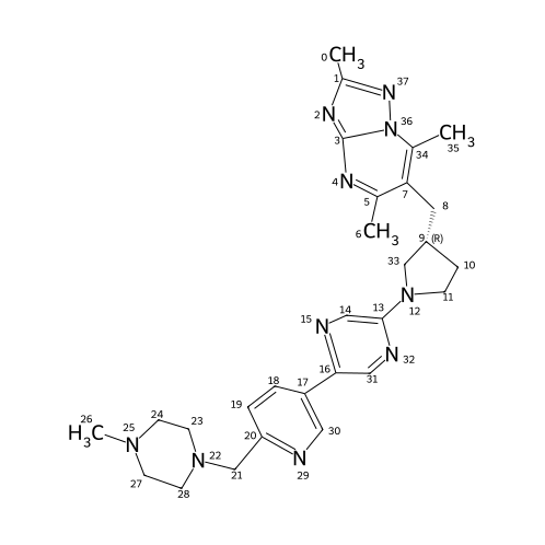 Cc1nc2nc(C)c(C[C@@H]3CCN(c4cnc(-c5ccc(CN6CCN(C)CC6)nc5)cn4)C3)c(C)n2n1